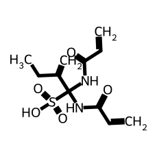 C=CC(=O)NC(NC(=O)C=C)(C(=C)CC)S(=O)(=O)O